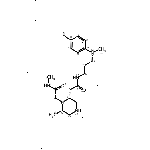 CNC(=O)CN1[C@H](CC(=O)NCCCN(C)c2ccc(F)cc2)CNC[C@H]1C